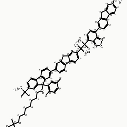 CCCCCCC(C)(C)c1ccc2c(c1)C(OCCCCCCCCC1(C)COC1)(c1cc(C)ccc1C)c1cc(-c3ccc4c(c3)Cc3cc(C(CC)(CCCC)C(C)(CC)c5ccc(-c6ccc7c(c6)Cc6cc(C(C)(CC)CC)ccc6-7)c6nsnc56)ccc3-4)ccc1-2